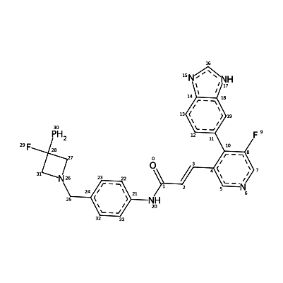 O=C(/C=C/c1cncc(F)c1-c1ccc2nc[nH]c2c1)Nc1ccc(CN2CC(F)(P)C2)cc1